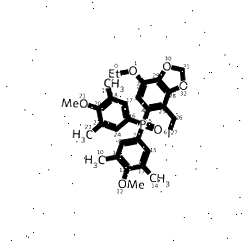 CCOc1cc(P(=O)(c2cc(C)c(OC)c(C)c2)c2cc(C)c(OC)c(C)c2)c(CI)c2c1OCO2